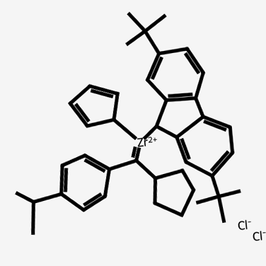 CC(C)c1ccc([C](C2CCCC2)=[Zr+2]([CH]2C=CC=C2)[CH]2c3cc(C(C)(C)C)ccc3-c3ccc(C(C)(C)C)cc32)cc1.[Cl-].[Cl-]